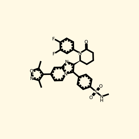 CNS(=O)(=O)c1ccc(-c2c([C@@H]3CCCC(=O)N3c3ccc(F)c(F)c3)nc3cc(-c4c(C)noc4C)ccn23)cc1